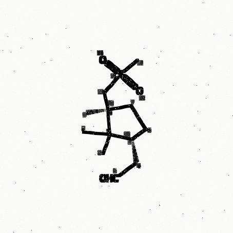 CC1(C)[C@@H](CC=O)CC[C@]1(C)CS(C)(=O)=O